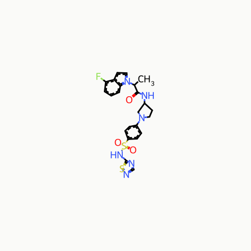 CC(C(=O)NC1CCN(c2ccc(S(=O)(=O)Nc3ncns3)cc2)C1)n1ccc2c(F)cccc21